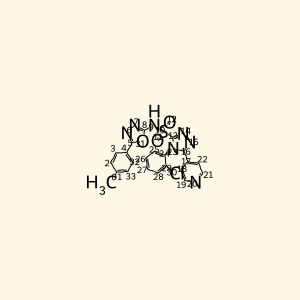 Cc1ccc(-c2nnc(NS(=O)(=O)c3nnc(-c4ccncc4)n3-c3ccccc3Cl)o2)cc1